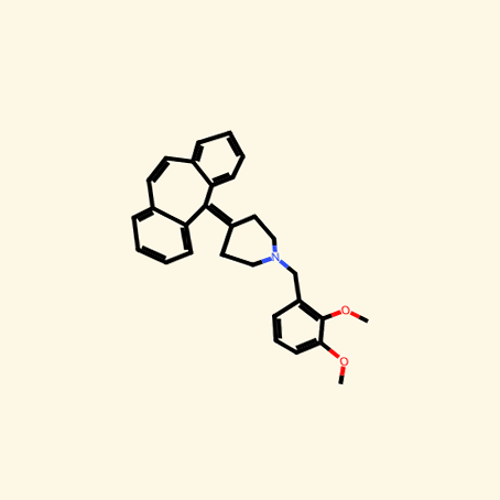 COc1cccc(CN2CCC(=C3c4ccccc4C=Cc4ccccc43)CC2)c1OC